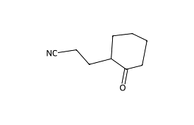 N#CCCC1CCCCC1=O